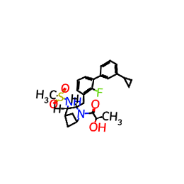 C[C@@H](O)C(=O)N1C2CC(C2)[C@H](NS(C)(=O)=O)[C@@H]1Cc1cccc(-c2cccc(C3CC3)c2)c1F